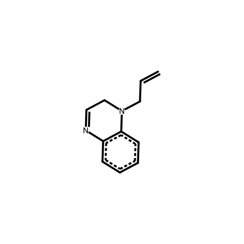 C=CCN1CC=Nc2ccccc21